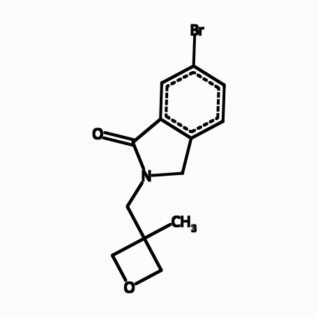 CC1(CN2Cc3ccc(Br)cc3C2=O)COC1